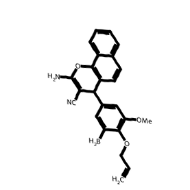 Bc1cc(C2C(C#N)=C(N)Oc3c2ccc2ccccc32)cc(OC)c1OCC=C